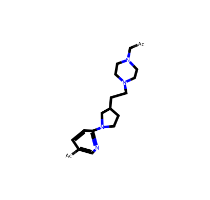 CC(=O)CN1CCN(CCC2CCN(c3ccc(C(C)=O)cn3)C2)CC1